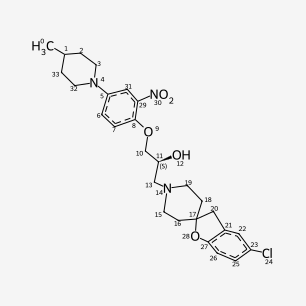 CC1CCN(c2ccc(OC[C@@H](O)CN3CCC4(CC3)Cc3cc(Cl)ccc3O4)c([N+](=O)[O-])c2)CC1